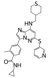 Cc1cc(-c2cnc3c(NCC4CCSCC4)cc(Sc4cccnc4)nn23)ccc1C(=O)NC1CC1